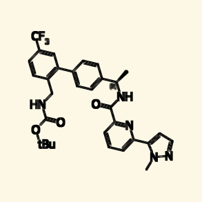 C[C@@H](NC(=O)c1cccc(-c2ccnn2C)n1)c1ccc(-c2cc(C(F)(F)F)ccc2CNC(=O)OC(C)(C)C)cc1